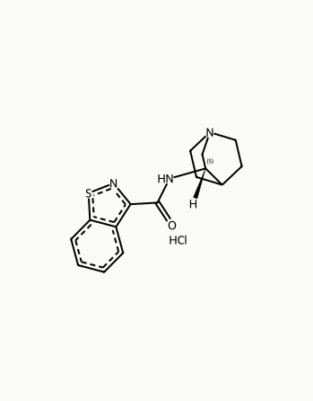 Cl.O=C(N[C@@H]1CN2CCC1CC2)c1nsc2ccccc12